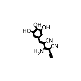 C#C/C(C#N)=C(N)/C(C#N)=C/c1cc(O)c(O)c(O)c1